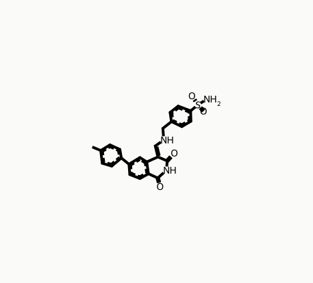 Cc1ccc(-c2ccc3c(c2)C(=CNCc2ccc(S(N)(=O)=O)cc2)C(=O)NC3=O)cc1